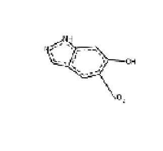 O=[N+]([O-])c1cc2cn[nH]c2cc1O